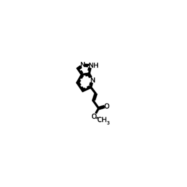 COC(=O)/C=C/c1ccc2cn[nH]c2n1